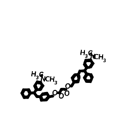 CN(C)c1ccc(C(Cc2ccc(COC(=O)CC(=O)OCc3ccc(CC(c4ccccc4)c4ccc(N(C)C)cc4)cc3)cc2)c2ccccc2)cc1